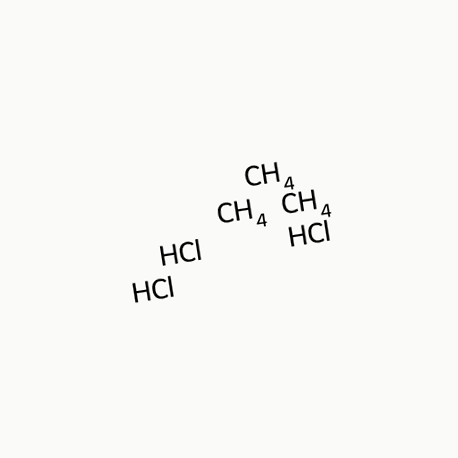 C.C.C.Cl.Cl.Cl